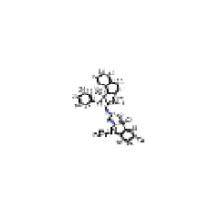 CCCN1/C(=C/C=C/C2=[N+](C)c3ccc4ccccc4c3C2(C)Cc2ccccc2)C(C)(C)c2cc(C)ccc21